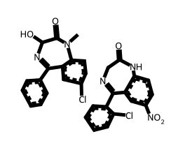 CN1C(=O)C(O)N=C(c2ccccc2)c2cc(Cl)ccc21.O=C1CN=C(c2ccccc2Cl)c2cc([N+](=O)[O-])ccc2N1